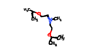 CC(C)OCCN(C)CCOC(C)C